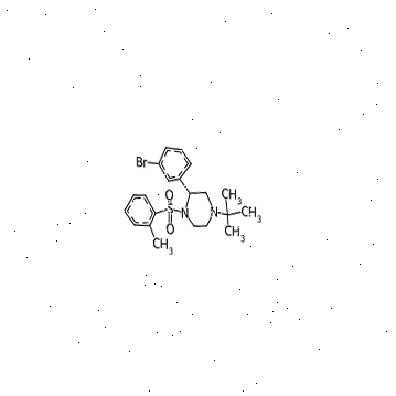 Cc1ccccc1S(=O)(=O)N1CCN(C(C)(C)C)CC1c1cccc(Br)c1